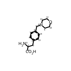 NC(Cc1ccc(CN2CCOCC2)cc1)C(=O)O